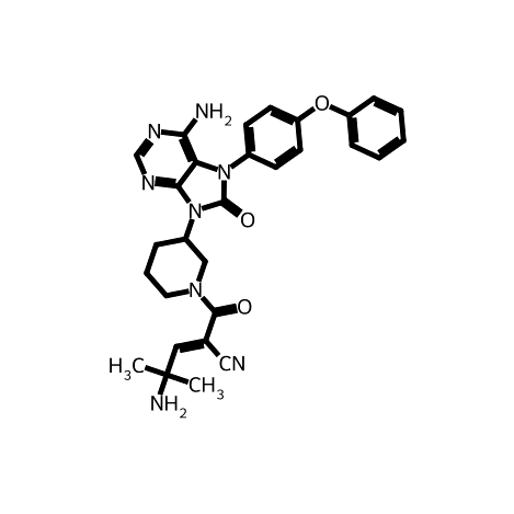 CC(C)(N)C=C(C#N)C(=O)N1CCCC(n2c(=O)n(-c3ccc(Oc4ccccc4)cc3)c3c(N)ncnc32)C1